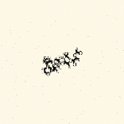 CC(=O)OC(C)C(=O)OC(C)C(=O)N(C[C@@H](COc1nsnc1N1CCOCC1)O[Si](C)(C)C(C)(C)C)C(C)(C)C